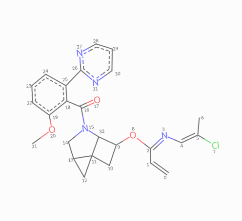 C=C/C(=N\C=C(/C)Cl)OC1CC23CC2CN(C(=O)c2c(OC)cccc2-c2ncccn2)C13